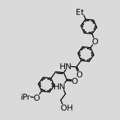 CCc1ccc(Oc2ccc(C(=O)N/C(=C/c3ccc(OC(C)C)cc3)C(=O)NCCO)cc2)cc1